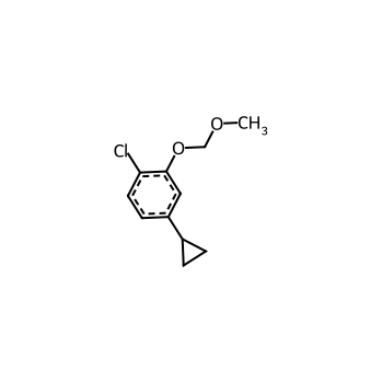 COCOc1cc(C2CC2)ccc1Cl